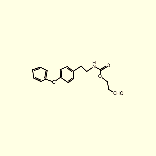 O=CCCOC(=O)NCCc1ccc(Oc2ccccc2)cc1